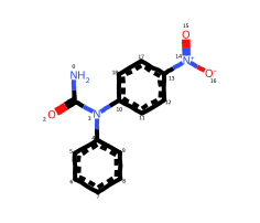 NC(=O)N(c1ccccc1)c1ccc([N+](=O)[O-])cc1